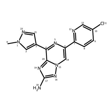 Cn1cc(-c2nc(-c3ccc(Cl)cn3)cn3nc(N)nc23)cn1